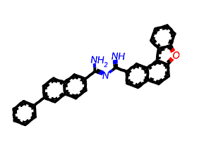 N=C(/N=C(\N)c1ccc2cc(-c3ccccc3)ccc2c1)c1ccc2ccc3oc4ccccc4c3c2c1